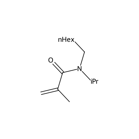 C=C(C)C(=O)N(CCCCCCC)C(C)C